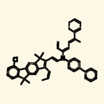 C=C/C(=C\C=C(/C)C1=CC=CCC1)N(/C=C/C1=C(/C=C\C)c2cc3c(cc2C1(C)C)-c1c(Cl)cccc1C3(C)C)c1ccc(-c2ccccc2)cc1